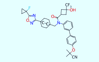 CC(C)(C#N)Oc1ccc(-c2cccc(N(CC34CCC(c5noc(C6(F)CC6)n5)(CC3)CC4)C(=O)C3CC(O)(C(F)(F)F)C3)c2)cc1